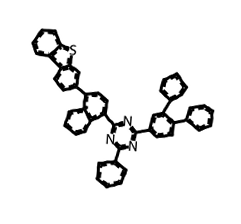 c1ccc(-c2nc(-c3ccc(-c4ccccc4)c(-c4ccccc4)c3)nc(-c3ccc(-c4ccc5c(c4)sc4ccccc45)c4ccccc34)n2)cc1